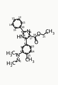 C=NN(C)c1cc(-c2[nH]c(-c3ccccc3)nc2C(=O)OCC)ccc1C